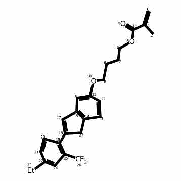 C=C(C)C(=O)OCCCCOc1ccc2c(c1)C=C(c1ccc(CC)cc1C(F)(F)F)C2